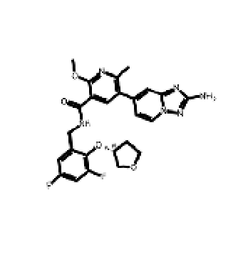 COc1nc(C)c(-c2ccn3nc(N)nc3c2)cc1C(=O)NCc1cc(F)cc(F)c1O[C@@H]1CCOC1